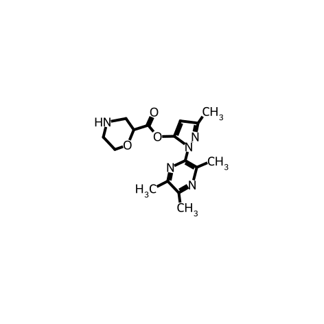 Cc1cc(OC(=O)C2CNCCO2)n(-c2nc(C)c(C)nc2C)n1